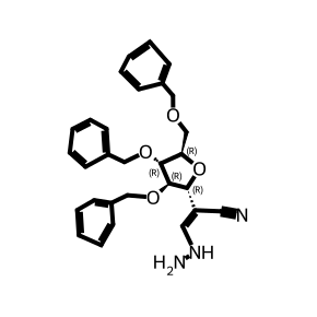 N#CC(=CNN)[C@H]1O[C@H](COCc2ccccc2)[C@@H](OCc2ccccc2)[C@@H]1OCc1ccccc1